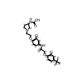 O=C(O)NC1CCN(CCOc2ccc(NC(=O)COc3ccc(C(F)(F)F)cc3Cl)cc2Cl)C1